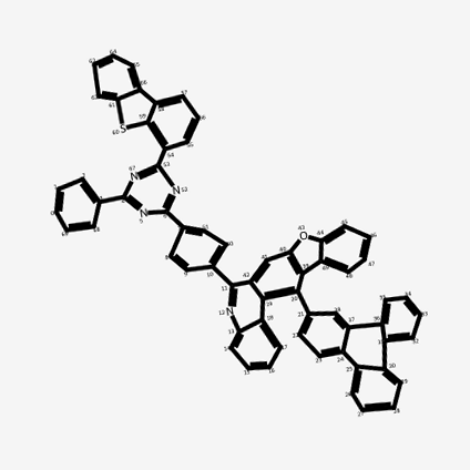 c1ccc(-c2nc(-c3ccc(-c4nc5ccccc5c5c(-c6ccc7c8ccccc8c8ccccc8c7c6)c6c(cc45)oc4ccccc46)cc3)nc(-c3cccc4c3sc3ccccc34)n2)cc1